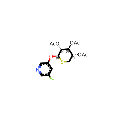 CC(=O)O[C@@H]1[C@@H](OC(C)=O)[C@H](OC(C)=O)CS[C@H]1Oc1cncc(F)c1